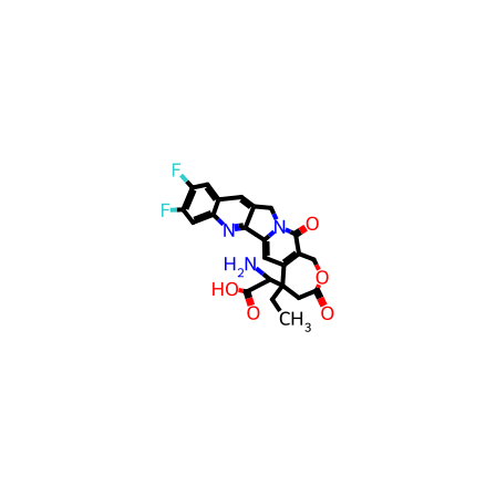 CCC1(C(N)C(=O)O)CC(=O)OCc2c1cc1n(c2=O)Cc2cc3cc(F)c(F)cc3nc2-1